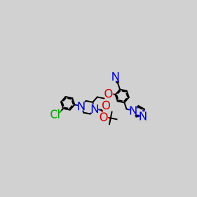 CC(C)(C)OC(=O)N1CCN(c2cccc(Cl)c2)CC1CCOc1cc(Cn2ccnc2)ccc1C#N